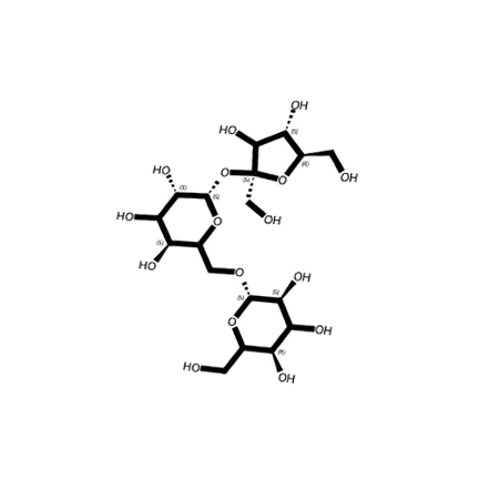 OCC1O[C@H](OCC2O[C@@H](O[C@]3(CO)O[C@H](CO)[C@@H](O)C3O)[C@@H](O)C(O)[C@@H]2O)[C@@H](O)C(O)[C@H]1O